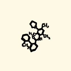 Cc1ccccc1-c1ccccc1C(=O)Nc1c(C)cc(C)c(N2CCCC2)c1C